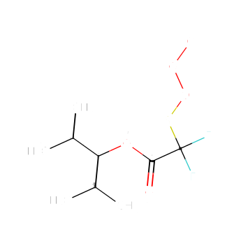 CC(C)C(OC(=O)C(F)(F)SOOO)C(C)C